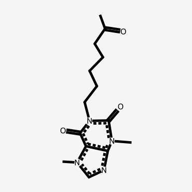 CC(=O)CCCCCn1c(=O)c2c(ncn2C)n(C)c1=O